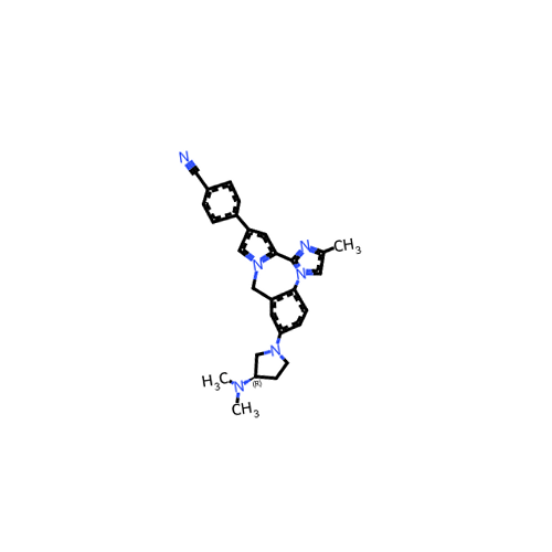 Cc1cn2c(n1)-c1cc(-c3ccc(C#N)cc3)cn1Cc1cc(N3CC[C@@H](N(C)C)C3)ccc1-2